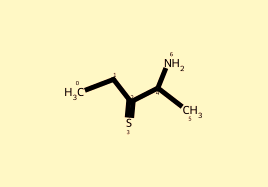 CCC(=S)C(C)N